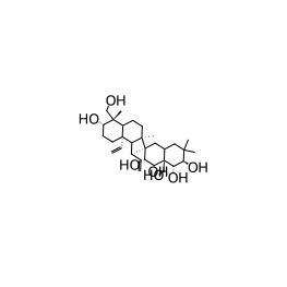 C=CCC1[C@@]2(C=C)CC[C@H](O)[C@](C)(CO)C2CC[C@@]1(C)[C@@]1(C)CC2CC(C)(C)[C@@H](O)[C@H](O)[C@]2(CO)[C@H](O)[C@@H]1O